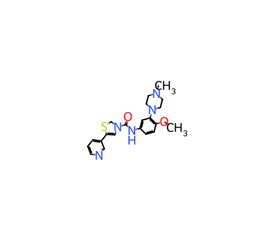 COc1ccc(NC(=O)N2C=C(c3cccnc3)SC2)cc1N1CCN(C)CC1